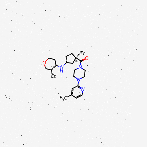 CCC1COCCC1NC1CC[C@@](C(=O)N2CCN(c3cc(C(F)(F)F)ccn3)CC2)(C(C)C)C1